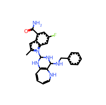 Cc1cc2c(C(N)=O)cc(F)cc2n1C1NC2=C(NC=CC=C2)C(NCc2ccccc2)N1